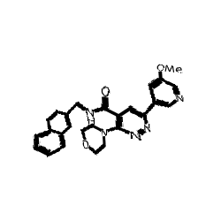 COc1cncc(-c2cc(C(=O)NCc3ccc4ccccc4c3)c(N3CCOCC3)nn2)c1